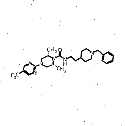 C[C@@H]1CN(c2ncc(C(F)(F)F)cn2)C[C@H](C)N1C(=O)NCCC1CCN(Cc2ccccc2)CC1